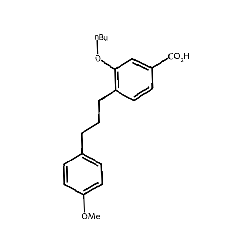 CCCCOc1cc(C(=O)O)ccc1CCCc1ccc(OC)cc1